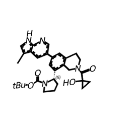 Cc1c[nH]c2ncc(-c3cc4c(c([C@@H]5CCCN5C(=O)OC(C)(C)C)c3)CN(C(=O)C3(O)CC3)CC4)cc12